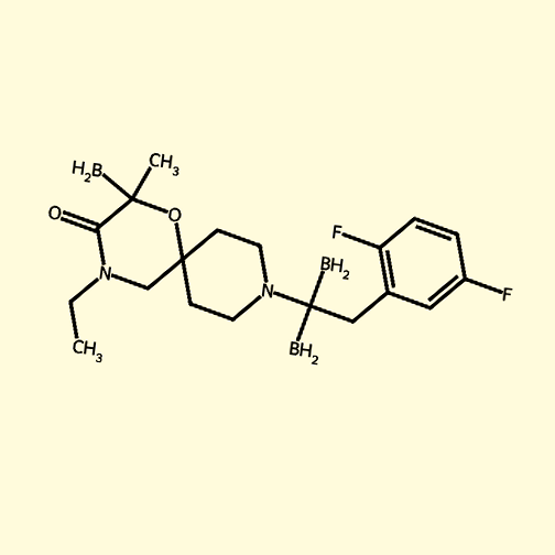 BC1(C)OC2(CCN(C(B)(B)Cc3cc(F)ccc3F)CC2)CN(CC)C1=O